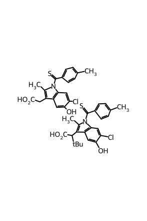 Cc1ccc(C(=S)n2c(C)c(C(C(=O)O)C(C)(C)C)c3cc(O)c(Cl)cc32)cc1.Cc1ccc(C(=S)n2c(C)c(CC(=O)O)c3cc(O)c(Cl)cc32)cc1